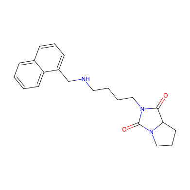 O=C1C2CCCN2C(=O)N1CCCCNCc1cccc2ccccc12